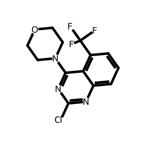 FC(F)(F)c1cccc2nc(Cl)nc(N3CCOCC3)c12